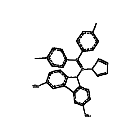 Cc1ccc([Si](c2ccc(C)cc2)=[Zr]([CH]2C=CC=C2)[CH]2c3ccc(C(C)(C)C)cc3-c3cc(C(C)(C)C)ccc32)cc1